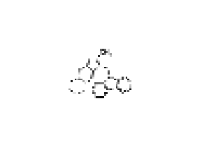 CC1=C(CC2c3ccccc3-c3ccccc32)C2=CC3=C(CCCC3)CC2=C1